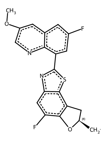 [CH2][C@@H]1Cc2c(c(F)cc3nc(-c4cc(F)cc5cc(OC)cnc45)sc23)O1